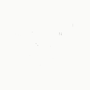 CN1CC2(CCCN2C=O)C1